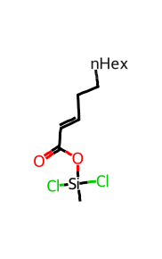 CCCCCCCCC=CC(=O)O[Si](C)(Cl)Cl